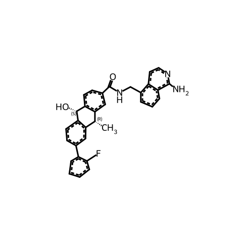 C[C@H]1c2cc(C(=O)NCc3cccc4c(N)nccc34)ccc2[C@@H](O)c2ccc(-c3ccccc3F)cc21